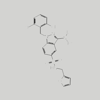 CCN(CC)c1nn(Cc2c(Cl)cccc2Cl)c2ccc(S(=O)(=O)NCc3ccco3)cc12